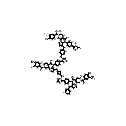 Cc1nnc(-c2ccc(-n3c(=O)c4c(n5ncc(Cc6ccc(Cn7cnnc7-c7ccc(-n8c(=O)c9c(n%10ncc(CC%11CC(Cn%12ncnc%12-c%12ccc(-n%13c(=O)c%14c(n%15ncc(Cc%16ccccc%16)c%13%15)CN(C(=O)c%13ccc(Br)c(C(F)(F)F)c%13)[C@H](C)C%14)cc%12)C%11)c8%10)CN(C(=O)c8ccc(Br)c(Cl)c8)[C@H](C)C9)cc7)cc6)c35)CN(C(=O)c3ccc(Br)c(C(F)(F)F)c3)[C@H](C)C4)cc2)[nH]1